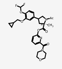 CC(=O)N1CC(c2ccc(OC(F)F)c(OCC3CC3)c2)C[C@]1(C)C(=O)Oc1cccc(C(=O)N2CCOCC2)n1